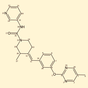 Cc1cnc(Oc2cccc(/C=C3\CCN(C(=O)Nc4cccnc4)CC3C)c2)nc1